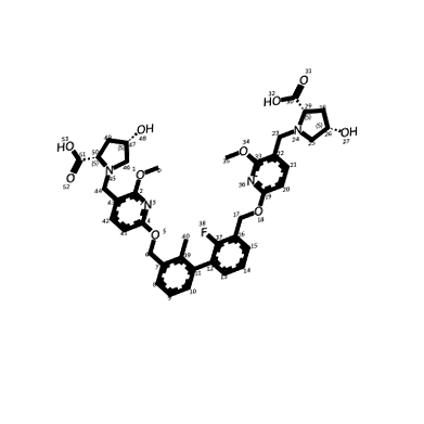 COc1nc(OCc2cccc(-c3cccc(COc4ccc(CN5C[C@@H](O)C[C@H]5C(=O)O)c(OC)n4)c3F)c2C)ccc1CN1C[C@@H](O)C[C@H]1C(=O)O